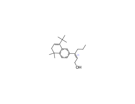 CCC/C(=C/CO)c1ccc2c(c1)C(C(C)(C)C)=CCC2(C)C